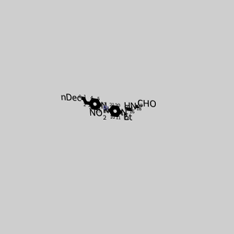 CCCCCCCCCCCCc1ccc(/N=N/c2ccc(N(CC)CCNCC=O)cc2)c([N+](=O)[O-])c1